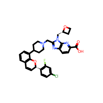 O=C(O)c1ccc2nc(CN3CCC(c4cccc5c4O[C@H](c4ccc(Cl)cc4F)C=C5)CC3)n(C[C@H]3CCO3)c2n1